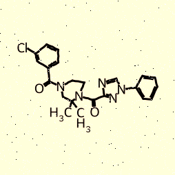 CC1(C)CN(C(=O)c2cccc(Cl)c2)CCN1C(=O)c1ncn(-c2ccccc2)n1